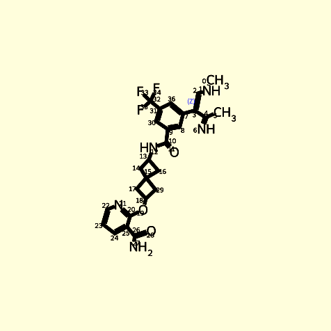 CN/C=C(\C(C)=N)c1cc(C(=O)NC2CC3(C2)CC(Oc2ncccc2C(N)=O)C3)cc(C(F)(F)F)c1